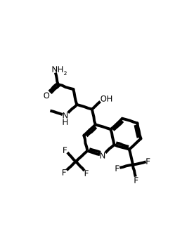 CNC(CC(N)=O)C(O)c1cc(C(F)(F)F)nc2c(C(F)(F)F)cccc12